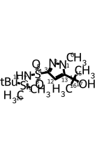 Cn1nc(S(=O)(=O)N[Si](C)(C)C(C)(C)C)cc1C(C)(C)O